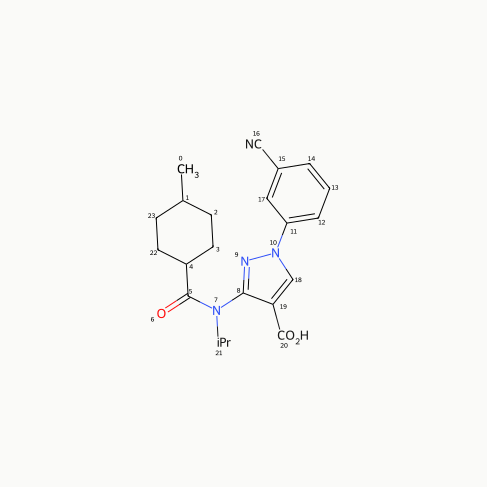 CC1CCC(C(=O)N(c2nn(-c3cccc(C#N)c3)cc2C(=O)O)C(C)C)CC1